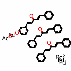 CC(=O)[O-].CC(=O)[O-].O=C(C=Cc1ccccc1)C=Cc1ccccc1.O=C(C=Cc1ccccc1)C=Cc1ccccc1.O=C(C=Cc1ccccc1)C=Cc1ccccc1.[Pd+2].[Pd].[Pd]